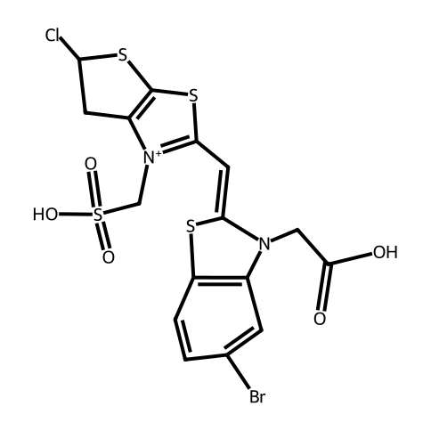 O=C(O)CN1/C(=C/c2sc3c([n+]2CS(=O)(=O)O)CC(Cl)S3)Sc2ccc(Br)cc21